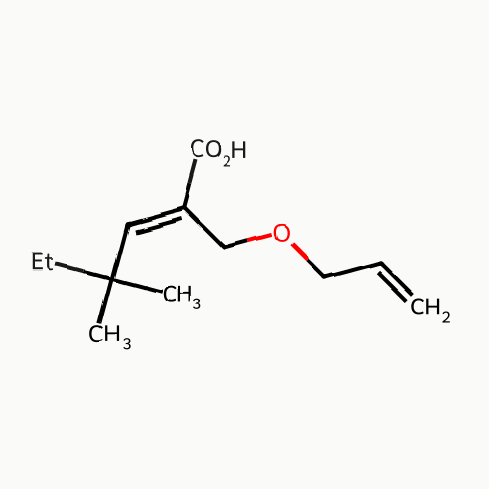 C=CCOCC(=CC(C)(C)CC)C(=O)O